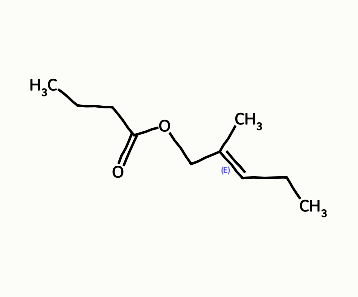 CC/C=C(\C)COC(=O)CCC